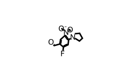 O=Cc1cc([N+](=O)[O-])c(N2CCCC2)cc1F